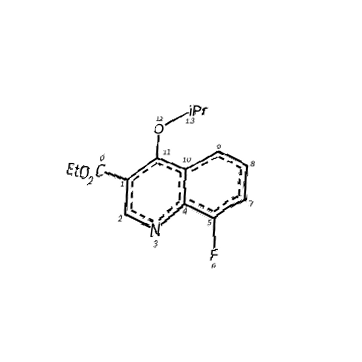 CCOC(=O)c1cnc2c(F)cccc2c1OC(C)C